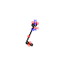 O=C1CCc2c([C@@H](O)CNCCCCCCOCCCCc3cccc(S(=O)(=O)C4CCCC4)c3)ccc(O)c2N1